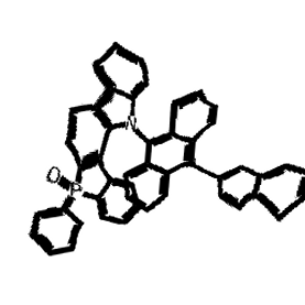 O=P1(c2ccccc2)c2ccccc2-c2c1ccc1c3ccccc3n(-c3c4ccccc4c(-c4ccc5ccccc5c4)c4ccccc34)c21